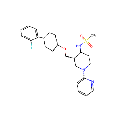 CS(=O)(=O)NC1CCN(c2ccccn2)C[C@H]1COC1CCC(c2ccccc2F)CC1